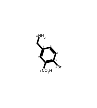 NCc1ccc(Br)c(C(=O)O)c1